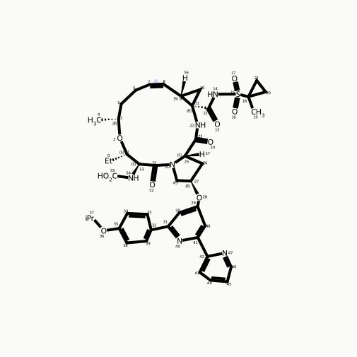 CC[C@@H]1O[C@H](C)CC/C=C\[C@@H]2C[C@@]2(C(=O)NS(=O)(=O)C2(C)CC2)NC(=O)[C@@H]2C[C@@H](Oc3cc(-c4ccc(OC(C)C)cc4)nc(-c4ccccn4)c3)CN2C(=O)[C@H]1NC(=O)O